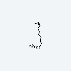 C/C=C\[CH]CCCCCCCCCC